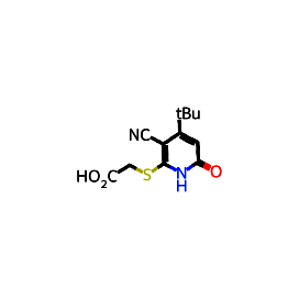 CC(C)(C)c1cc(=O)[nH]c(SCC(=O)O)c1C#N